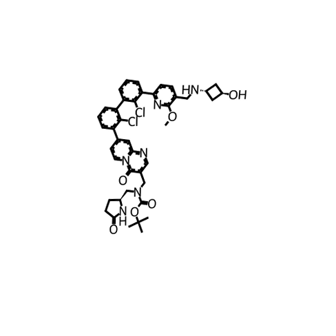 COc1nc(-c2cccc(-c3cccc(-c4ccn5c(=O)c(CN(C[C@@H]6CCC(=O)N6)C(=O)OC(C)(C)C)cnc5c4)c3Cl)c2Cl)ccc1CN[C@H]1C[C@H](O)C1